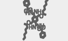 CCCCCCC(C)OCc1cc(C(=N)NOC(=O)c2ccccc2)c(COC(C)CCCCCC)cc1C(=N)NOC(=O)c1ccccc1